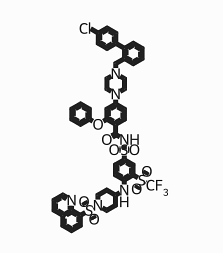 O=C(NS(=O)(=O)c1ccc(NC2CCN(S(=O)(=O)c3cccc4cccnc34)CC2)c(S(=O)(=O)C(F)(F)F)c1)c1ccc(N2CCN(Cc3ccccc3-c3ccc(Cl)cc3)CC2)cc1Oc1ccccc1